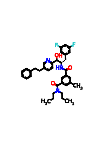 CCCN(CCC)C(=O)c1cc(C)cc(C(=O)N[C@@H](Cc2cc(F)cc(F)c2)C(O)c2ccc(CCc3ccccc3)cn2)c1